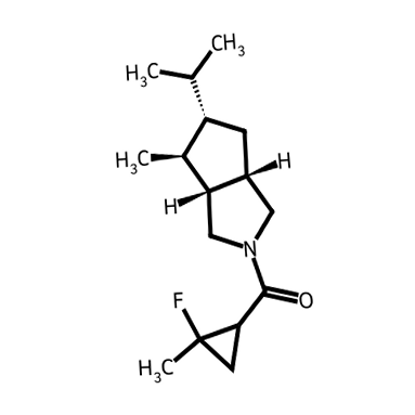 CC(C)[C@@H]1C[C@@H]2CN(C(=O)C3CC3(C)F)C[C@@H]2[C@H]1C